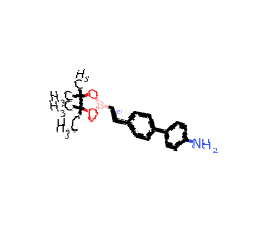 CC1(C)OB(/C=C/c2ccc(-c3ccc(N)cc3)cc2)OC1(C)C